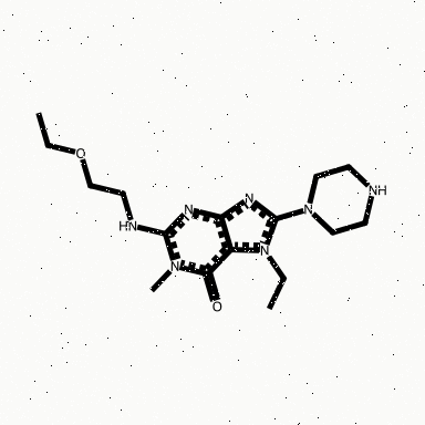 CCOCCNc1nc2nc(N3CCNCC3)n(CC)c2c(=O)n1C